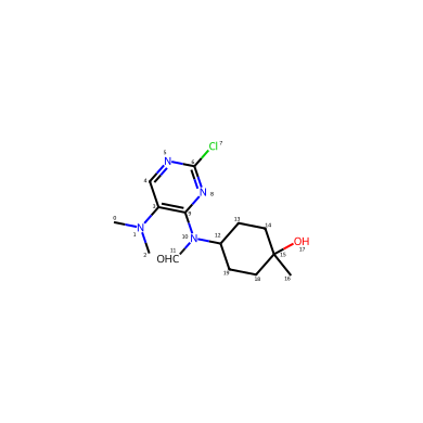 CN(C)c1cnc(Cl)nc1N(C=O)C1CCC(C)(O)CC1